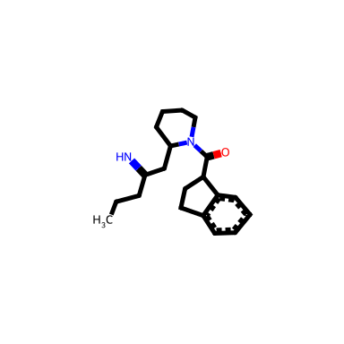 CCCC(=N)CC1CCCCN1C(=O)C1CCc2ccccc21